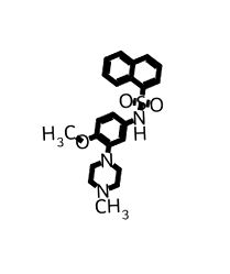 COc1ccc(NS(=O)(=O)c2cccc3ccccc23)cc1N1CCN(C)CC1